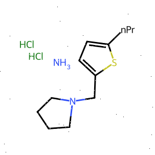 CCCc1ccc(CN2CCCC2)s1.Cl.Cl.N